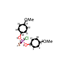 COc1ccc(OP(=S)(Cl)Oc2ccc(OC)cc2)cc1